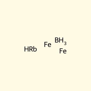 B.[Fe].[Fe].[RbH]